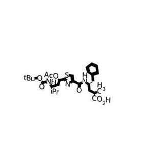 CC(=O)O[C@H](C[C@@H](NC(=O)OC(C)(C)C)C(C)C)c1nc(C(=O)N[C@H](Cc2ccccc2)C[C@H](C)C(=O)O)cs1